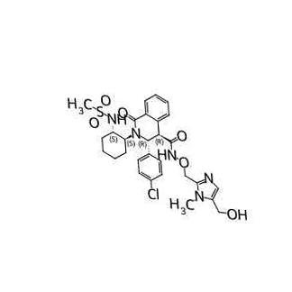 Cn1c(CO)cnc1CONC(=O)[C@@H]1c2ccccc2C(=O)N([C@H]2CCCC[C@@H]2NS(C)(=O)=O)[C@H]1c1ccc(Cl)cc1